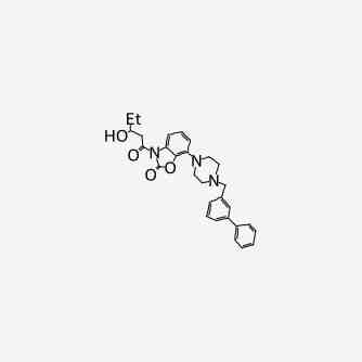 CCC(O)CC(=O)n1c(=O)oc2c(N3CCN(Cc4cccc(-c5ccccc5)c4)CC3)cccc21